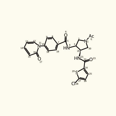 CC(=O)N1CC(NC(=O)c2ccc(-n3ccccc3=O)cc2)[C@H](NC(=O)c2ccc(Cl)s2)C1